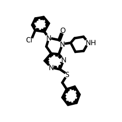 O=C1N(c2ccccc2Cl)Cc2cnc(SCc3ccccc3)nc2N1C1CCNCC1